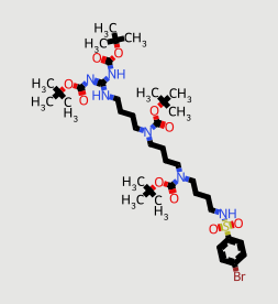 CC(C)(C)OC(=O)/N=C(\NCCCCN(CCCCN(CCCCNS(=O)(=O)c1ccc(Br)cc1)C(=O)OC(C)(C)C)C(=O)OC(C)(C)C)NC(=O)OC(C)(C)C